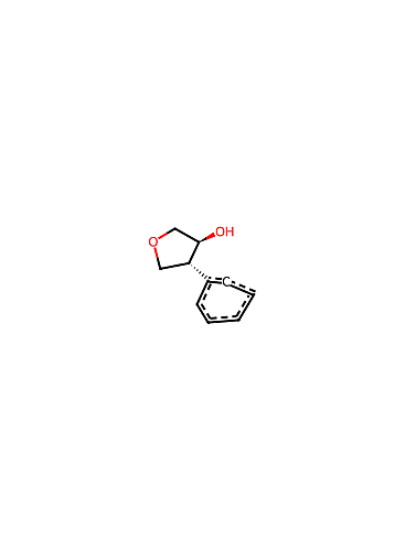 O[C@@H]1COC[C@H]1c1ccccc1